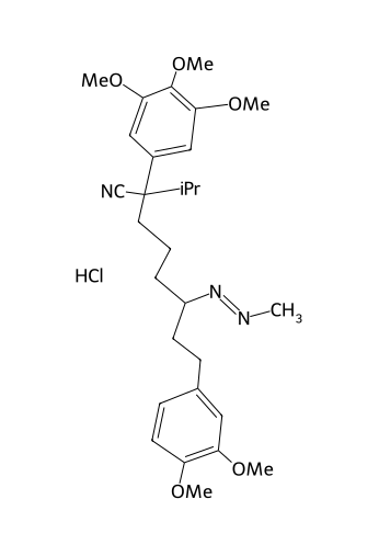 C/N=N/C(CCCC(C#N)(c1cc(OC)c(OC)c(OC)c1)C(C)C)CCc1ccc(OC)c(OC)c1.Cl